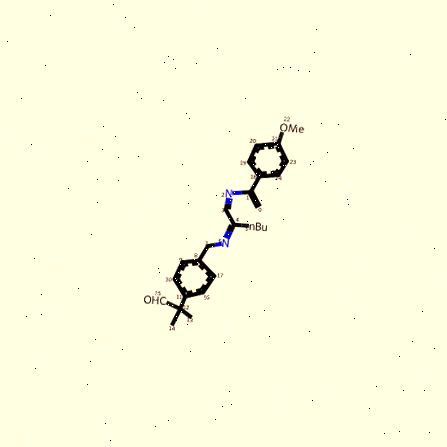 C=C(/N=C\C(CCCC)=N/Cc1ccc(C(C)(C)C=O)cc1)c1ccc(OC)cc1